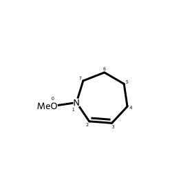 CON1C=CCCCC1